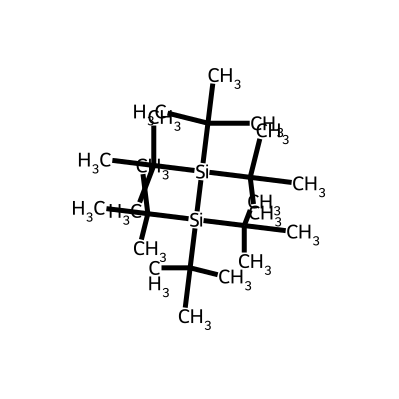 CC(C)(C)[Si](C(C)(C)C)(C(C)(C)C)[Si](C(C)(C)C)(C(C)(C)C)C(C)(C)C